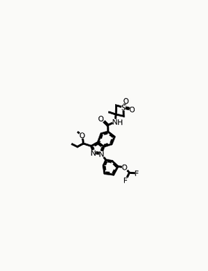 CCC(OC)c1nn(-c2cccc(OC(F)F)c2)c2ccc(C(=O)NC3(C)CS(=O)(=O)C3)cc12